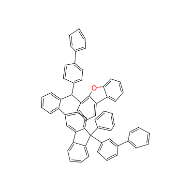 c1ccc(-c2ccc(C(c3ccccc3-c3ccc4c(c3)-c3ccccc3C4(c3ccccc3)c3cccc(-c4ccccc4)c3)c3cccc4c3oc3ccccc34)cc2)cc1